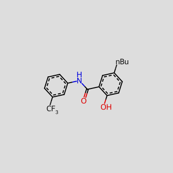 CCCCc1ccc(O)c(C(=O)Nc2cccc(C(F)(F)F)c2)c1